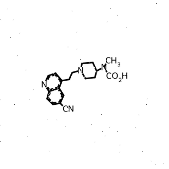 CN(C(=O)O)C1CCN(CCc2ccnc3ccc(C#N)cc23)CC1